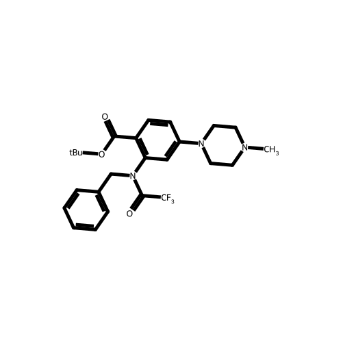 CN1CCN(c2ccc(C(=O)OC(C)(C)C)c(N(Cc3ccccc3)C(=O)C(F)(F)F)c2)CC1